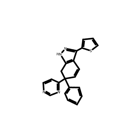 C1=CC(c2ccccc2)(c2ccncn2)Cc2[nH]nc(-c3cccs3)c21